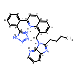 CCCCc1nc2cccnc2n1Cc1cccc2ccc(-c3ccccc3-c3nnn[nH]3)nc12